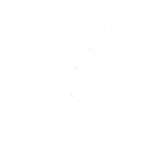 CC1CCCN1c1nc(Cl)cc(N2CCN(C(=O)OC(C)(C)C)CC2)n1